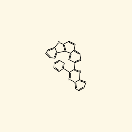 c1ccc(-c2nc3ccccc3nc2-c2ccc3ccc4sc5ccccc5c4c3c2)cc1